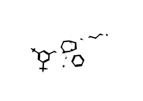 COCCCOC[C@@H]1C[C@]2(c3ccccc3)N[C@H]1CC[C@@]2(COC)OCc1cc(C(F)(F)F)cc(C(F)(F)F)c1.Cl